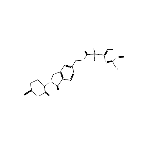 C=N/C(N)=N\C(=C/C)C(F)(F)C(=O)NCc1ccc2c(c1)CN(C1CCC(=O)NC1=O)C2=O